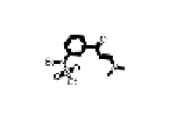 CCN(c1cccc(C(=O)C=CN(C)C)c1)S(=O)(=O)CC